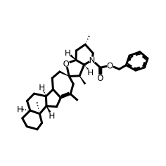 CC1=C2C[C@H]3[C@@H](CC[C@@H]4CCCC[C@@]43C)C2CC[C@@]2(C1)O[C@@H]1C[C@H](C)CN(C(=O)OCc3ccccc3)[C@H]1[C@H]2C